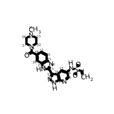 C=CS(=O)(=O)Nc1cnc2[nH]nc(-c3nc4ccc(C(=O)N5CCN(C)CC5)cc4[nH]3)c2c1